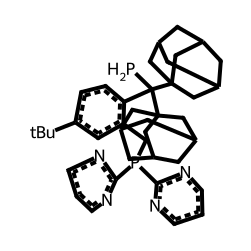 CC(C)(C)c1ccc(C(P)(C23CC4CC(CC(C4)C2)C3)C23CC4CC(CC(C4)C2)C3)c(CP(c2ncccn2)c2ncccn2)c1